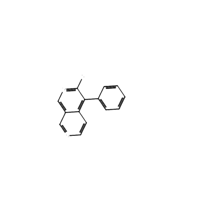 Nc1ncc2cnccc2c1-c1ccccc1